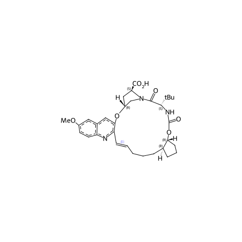 COc1ccc2nc3c(cc2c1)O[C@@H]1C[C@@H](C(=O)O)N(C1)C(=O)[C@H](C(C)(C)C)NC(=O)O[C@@H]1CCC[C@H]1CCC/C=C/3